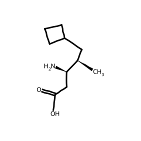 C[C@H](CC1CCC1)[C@H](N)CC(=O)O